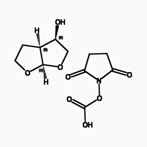 O=C(O)ON1C(=O)CCC1=O.O[C@H]1CO[C@H]2OCC[C@H]21